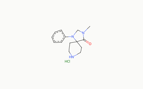 CN1CN(c2ccccc2)C2(CCNCC2)C1=O.Cl